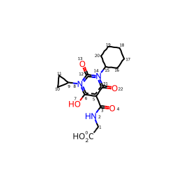 O=C(O)CNC(=O)c1c(O)n(C2CC2)c(=O)n(C2CCCCC2)c1=O